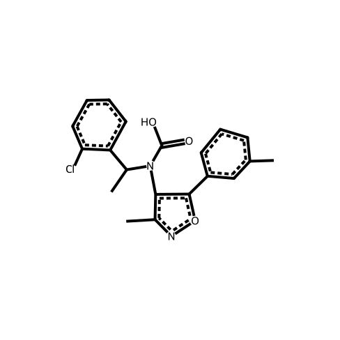 Cc1cccc(-c2onc(C)c2N(C(=O)O)C(C)c2ccccc2Cl)c1